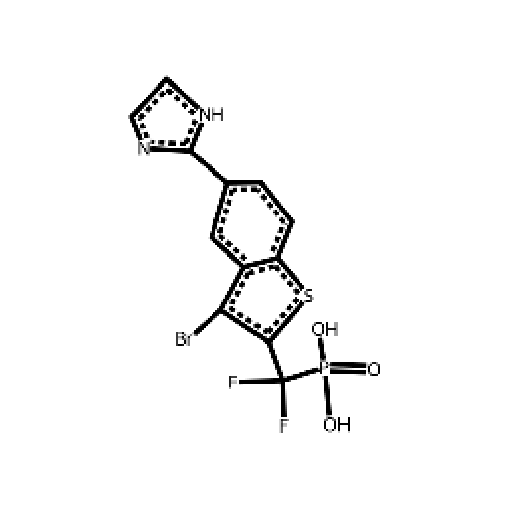 O=P(O)(O)C(F)(F)c1sc2ccc(-c3ncc[nH]3)cc2c1Br